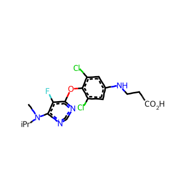 CC(C)N(C)c1ncnc(Oc2c(Cl)cc(NCCC(=O)O)cc2Cl)c1F